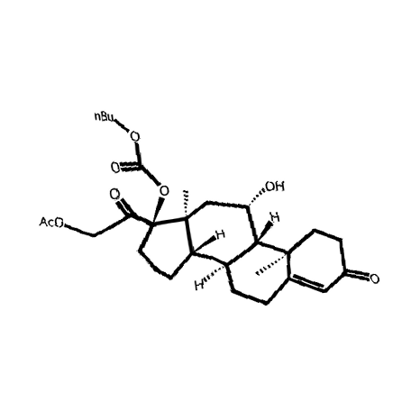 CCCCOC(=O)O[C@]1(C(=O)COC(C)=O)CC[C@H]2[C@@H]3CCC4=CC(=O)CC[C@]4(C)[C@H]3[C@@H](O)C[C@@]21C